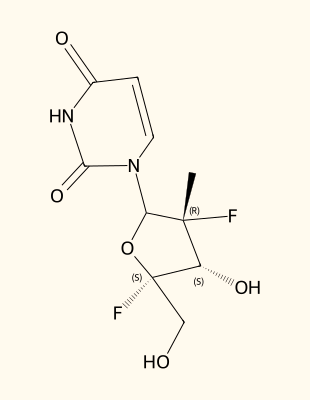 C[C@]1(F)C(n2ccc(=O)[nH]c2=O)O[C@](F)(CO)[C@H]1O